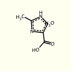 Cc1nc(C(=O)O)c[nH]1.O